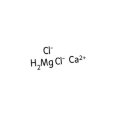 [Ca+2].[Cl-].[Cl-].[MgH2]